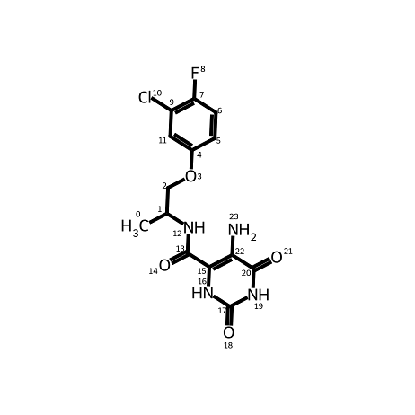 CC(COc1ccc(F)c(Cl)c1)NC(=O)c1[nH]c(=O)[nH]c(=O)c1N